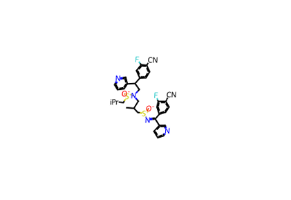 CC(C)C[S+]([O-])N(CC(C)C[S+]([O-])N=C(c1cccnc1)c1ccc(C#N)c(F)c1)CC(c1cccnc1)c1ccc(C#N)c(F)c1